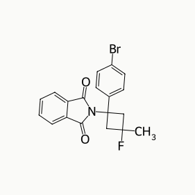 CC1(F)CC(c2ccc(Br)cc2)(N2C(=O)c3ccccc3C2=O)C1